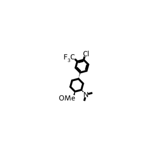 CO[C@H]1CC[C@H](c2ccc(Cl)c(C(F)(F)F)c2)C[C@@H]1N(C)C